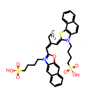 CCC(=Cc1oc2cc3ccccc3cc2[n+]1CCCCS(=O)(=O)O)C=C1Sc2c(ccc3ccccc23)N1CCCCS(=O)(=O)O